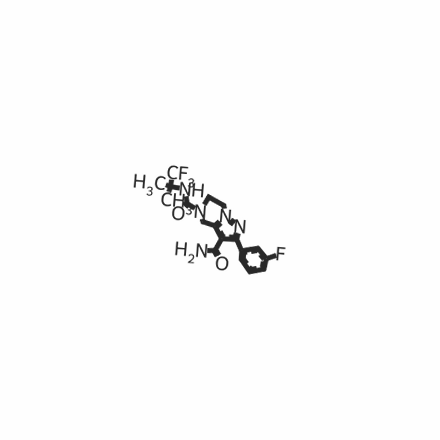 CC(C)(NC(=O)N1CCn2nc(-c3cccc(F)c3)c(C(N)=O)c2C1)C(F)(F)F